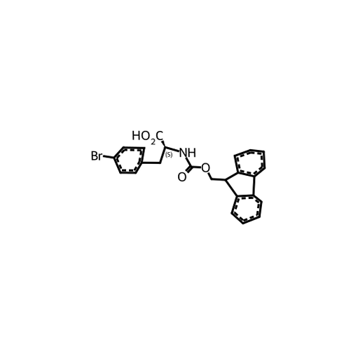 O=C(N[C@@H](Cc1ccc(Br)cc1)C(=O)O)OCC1c2ccccc2-c2ccccc21